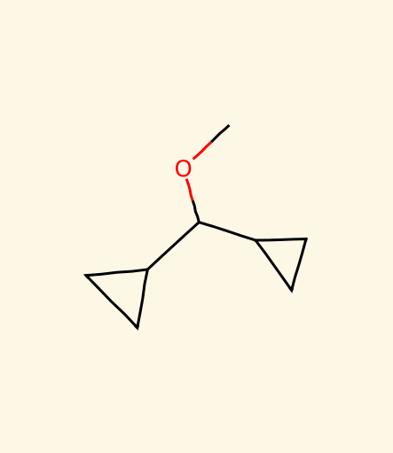 COC(C1CC1)C1CC1